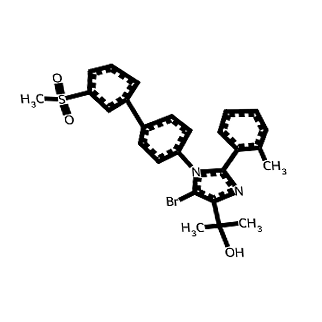 Cc1ccccc1-c1nc(C(C)(C)O)c(Br)n1-c1ccc(-c2cccc(S(C)(=O)=O)c2)cc1